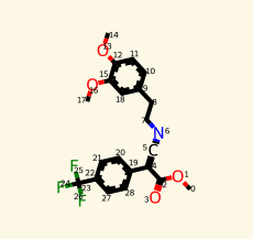 COC(=O)C(=C=NCCc1ccc(OC)c(OC)c1)c1ccc(C(F)(F)F)cc1